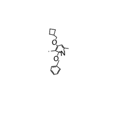 [CH2]c1c(OCC2CCC2)cc(C)nc1OCc1ccccc1